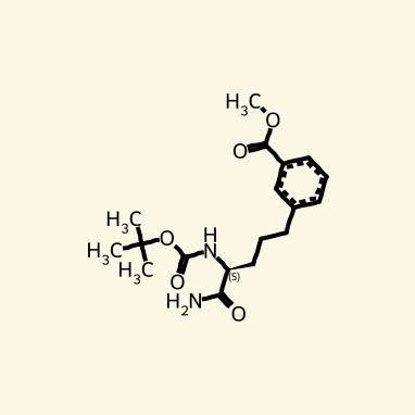 COC(=O)c1cccc(CCC[C@H](NC(=O)OC(C)(C)C)C(N)=O)c1